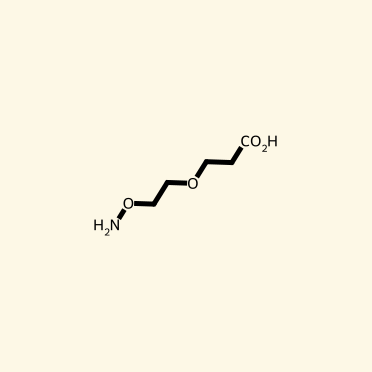 NOCCOCCC(=O)O